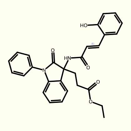 CCOC(=O)CCC1(NC(=O)/C=C/c2ccccc2O)C(=O)N(c2ccccc2)c2ccccc21